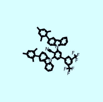 Cc1cc(C)c(-c2ccc3c(c2)c2ccccc2n3-c2cc(-c3cc(C(F)(F)F)cc(C(F)(F)F)c3)cc(-n3c4ccccc4c4cc(-c5c(C)cc(C)cc5C)ccc43)c2C#N)c(C)c1